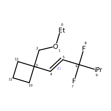 CCOCC1(/C=C/C(F)(F)C(C)C)CCC1